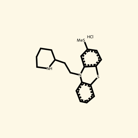 CSc1ccc2c(c1)N(CCC1CCCCN1)c1ccccc1S2.Cl